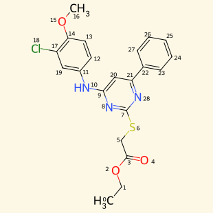 CCOC(=O)CSc1nc(Nc2ccc(OC)c(Cl)c2)cc(-c2ccccc2)n1